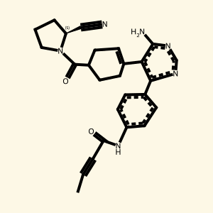 CC#CC(=O)Nc1ccc(-c2ncnc(N)c2C2=CCC(C(=O)N3CCC[C@H]3C#N)CC2)cc1